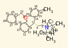 [2H]C(C)(C)N(CC[C@H](c1ccccc1)c1cc(C)ccc1OCc1ccccc1)C([2H])(C)C